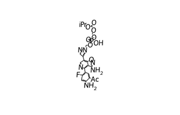 CC(=O)c1cc(-c2ncc(-c3cnn(COP(=O)(O)OCOC(=O)OC(C)C)c3)c3onc(N)c23)c(F)cc1N